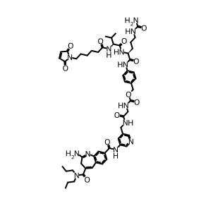 CCCN(CCC)C(=O)C1=Cc2ccc(C(=O)Nc3cncc(CNC(=O)CNC(=O)OCc4ccc(NC(=O)[C@H](CCCNC(N)=O)NC(=O)[C@@H](NC(=O)CCCCCN5C(=O)C=CC5=O)C(C)C)cc4)c3)cc2N=C(N)C1